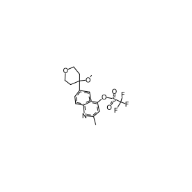 COC1(c2ccc3nc(C)cc(OS(=O)(=O)C(F)(F)F)c3c2)CCOCC1